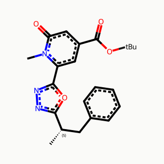 C[C@@H](Cc1ccccc1)c1nnc(-c2cc(C(=O)OC(C)(C)C)cc(=O)n2C)o1